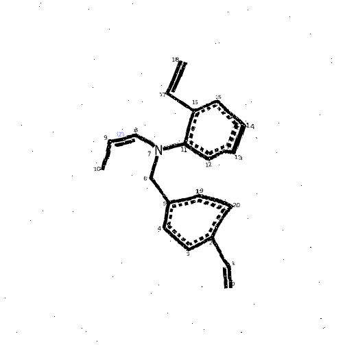 C=Cc1ccc(CN(/C=C\C)c2ccccc2C=C)cc1